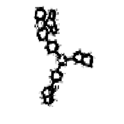 c1ccc2c(c1)Oc1ccc(-c3ccc(-c4nc(-c5ccc(C6CC78CC9CC7CC6[C@H]98)cc5)nc(-c5ccc6ccccc6c5)n4)cc3)cc1C21c2ccccc2-c2ccccc21